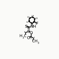 CCC(=O)ON(CC)C(=S)Nc1ccccc1F